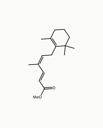 COC(=O)C=CC(C)=CCC1=C(C)CCCC1(C)C